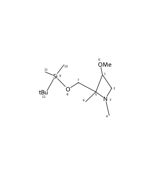 COC1CN(C)C1(C)CO[Si](C)(C)C(C)(C)C